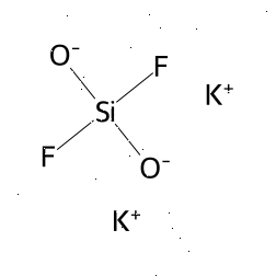 [K+].[K+].[O-][Si]([O-])(F)F